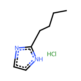 CCCCc1ncc[nH]1.Cl